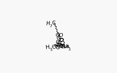 CCCCCCCCOC(=O)Oc1ccc2c3c1O[C@@H](C(=O)CC)[C@]31CCN(CC3CC3)C(C2)[C@@]1(C)O